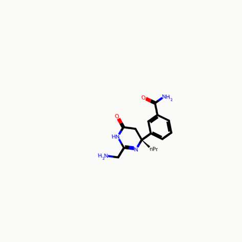 CCC[C@]1(c2cccc(C(N)=O)c2)CC(=O)NC(CN)=N1